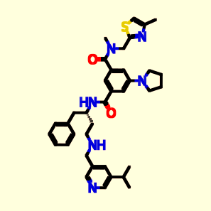 Cc1csc(CN(C)C(=O)c2cc(C(=O)N[C@H](CCNCc3cncc(C(C)C)c3)Cc3ccccc3)cc(N3CCCC3)c2)n1